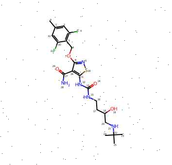 Cc1cc(F)c(COc2nsc(NC(=O)NCCC(O)CNC(C)(C)C)c2C(N)=O)c(F)c1